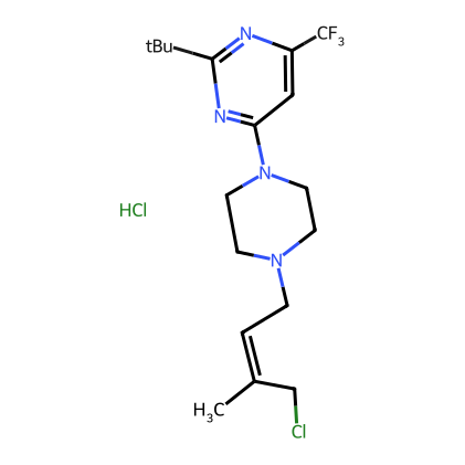 CC(=CCN1CCN(c2cc(C(F)(F)F)nc(C(C)(C)C)n2)CC1)CCl.Cl